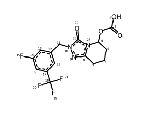 O=C(O)OC1CCCc2nn(Cc3cc(F)cc(C(F)(F)F)c3)c(=O)n21